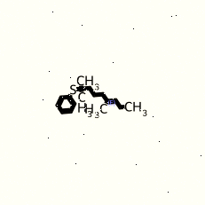 CC/C=C(\C)CCCC(C)(C)Sc1ccccc1